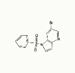 O=S(=O)(c1ccccc1)n1ccc2ncc(Br)cc21